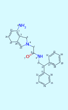 NC1=C2CN(CC(=O)NCC(c3ccccc3)c3ccccc3)C=C2CC=C1